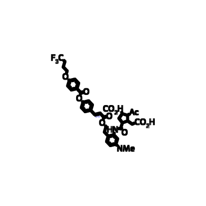 CNc1ccc(CCOC(=O)/C=C/c2ccc(OC(=O)c3ccc(OCCCC(F)(F)F)cc3)cc2)c(NC(=O)C2CC(C(=O)O)C(C(C)=O)C2CC(=O)O)c1